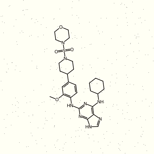 COc1cc(C2CCN(S(=O)(=O)N3CCOCC3)CC2)ccc1Nc1nc(NC2CCCCC2)c2nc[nH]c2n1